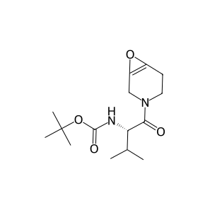 CC(C)[C@H](NC(=O)OC(C)(C)C)C(=O)N1CCC2=C(C1)O2